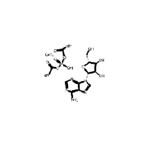 CCCC(=O)OP(=O)(O)OC(=O)CCC.Nc1ncnc2c1ncn2[C@@H]1O[C@H](CO)[C@@H](O)[C@H]1O.[CaH2]